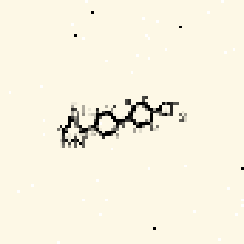 CCn1cnnc1-c1ccc(-c2ccc(C(F)(F)F)cc2)cc1